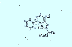 COC(=O)c1cc2c(Cl)ccc(-c3ccccc3)c2[nH]1